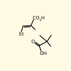 CC(C)(C)C(=O)O.CCC=C(C)C(=O)O